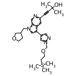 CC(C)(O)C#Cc1cc2c(-c3cnn(COCCS(C)(C)C)c3)cn(CC3CCOC3)c2cn1